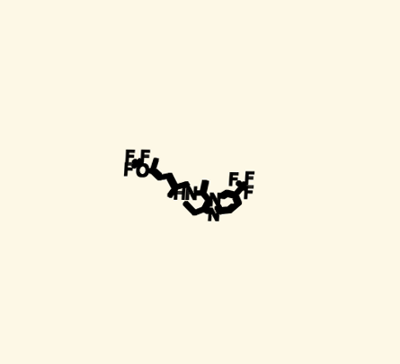 C=C(NC/C(C)=C/C=C(\C)OC(F)(F)F)c1c(CC)nc2ccc(C(F)(F)F)cn12